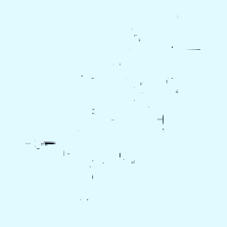 CC1(C)OC2CC3C(OC(=O)[C@H]3O)[C@@H]2O1